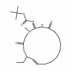 CCC1/C=C/CCCCCCCC(=O)N/C(=N/C(=O)OC(C)(C)C)N(C)CC(=O)O1